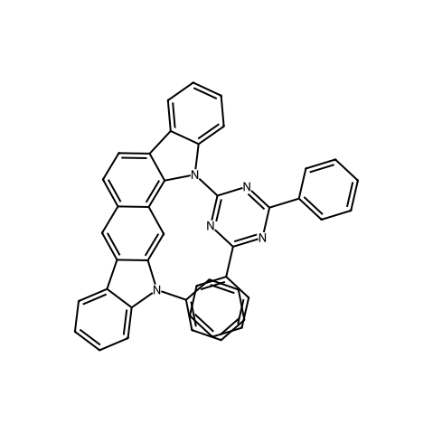 c1ccc(-c2nc(-c3ccccc3)nc(-n3c4ccccc4c4ccc5cc6c7ccccc7n(-c7ccccc7)c6cc5c43)n2)cc1